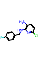 Nc1ccc(Cl)nc1NCc1ccc(F)cc1